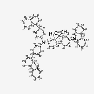 CC1(C)c2cc(N(c3ccc(-c4cccc5ccccc45)cc3)c3ccc(-c4cccc5c4oc4ccccc45)cc3)ccc2-c2ccc(-n3c4ccccc4c4ccccc43)cc21